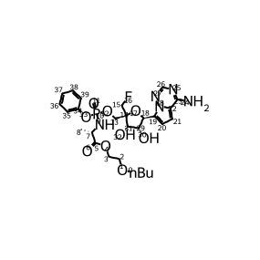 CCCCOCCOC(=O)[C@H](C)NP(=O)(OC[C@@]1(CF)O[C@@H](c2ccc3c(N)ncnn23)[C@H](O)[C@@H]1O)Oc1ccccc1